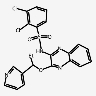 CCC(Oc1nc2ccccc2nc1NS(=O)(=O)c1cccc(Cl)c1Cl)c1cccnc1